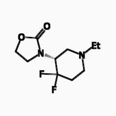 CCN1CCC(F)(F)[C@H](N2CCOC2=O)C1